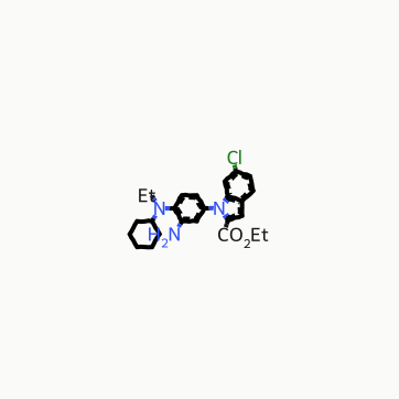 CCOC(=O)c1cc2ccc(Cl)cc2n1-c1ccc(N(CC)C2CCCCC2)c(N)c1